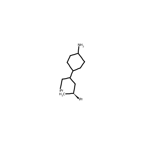 CC(C)CC(C[C@H](C)C(C)C)C1CCC(N)CC1